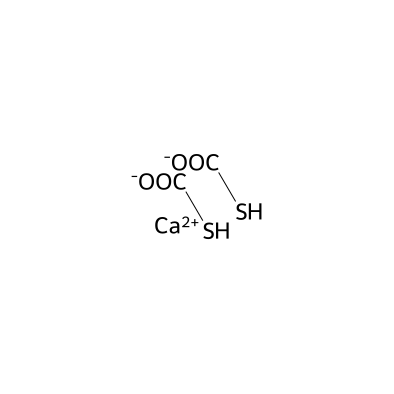 O=C([O-])S.O=C([O-])S.[Ca+2]